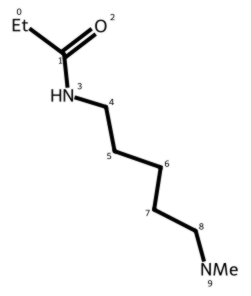 CCC(=O)NCCCCCNC